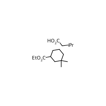 CC(C)CC(=O)O.CCOC(=O)C1CCCC(C)(C)C1